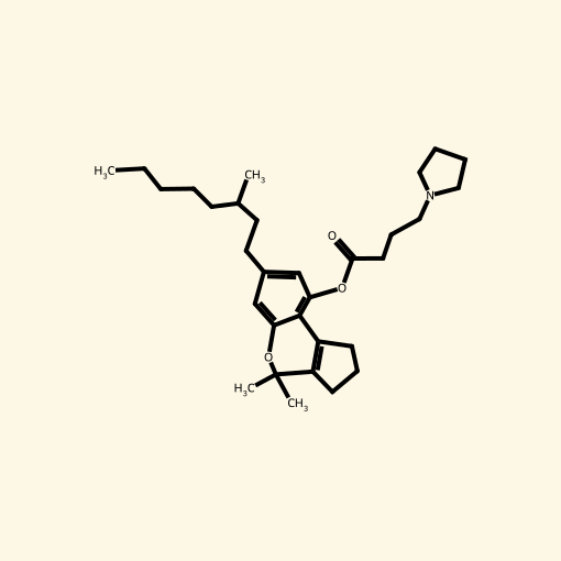 CCCCCC(C)CCc1cc(OC(=O)CCCN2CCCC2)c2c(c1)OC(C)(C)C1=C2CCC1